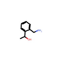 C[C](O)c1ccccc1CN